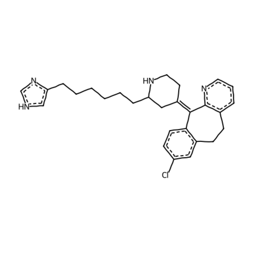 Clc1ccc2c(c1)CCc1cccnc1C2=C1CCNC(CCCCCCc2c[nH]cn2)C1